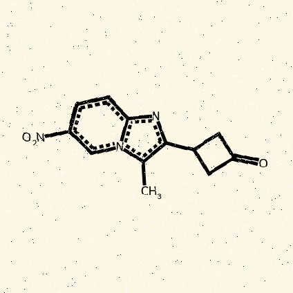 Cc1c(C2CC(=O)C2)nc2ccc([N+](=O)[O-])cn12